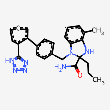 CCCC1(C(N)=O)Nc2c(C)c[c]cc2N1Cc1ccc(-c2ccccc2-c2nnn[nH]2)cc1